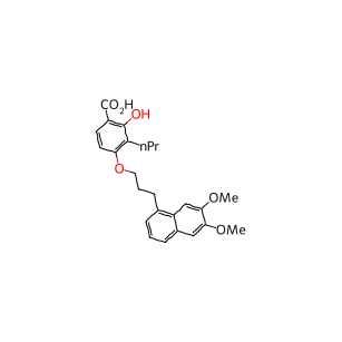 CCCc1c(OCCCc2cccc3cc(OC)c(OC)cc23)ccc(C(=O)O)c1O